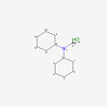 CC(=O)N(C1CCCCC1)C1CCCCC1.Cl